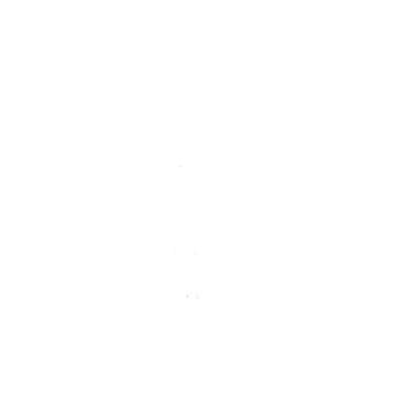 COCc1ccc2cc(OC3CCC4(CCCC4)CC3)ccc2c1